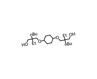 CCCCC(CC)(CO)COC1CCC(OCC(CC)(CO)CCCC)CC1